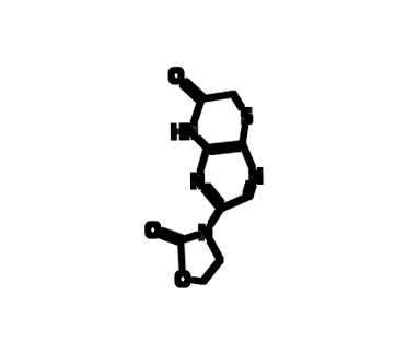 O=C1CSc2ncc(N3CCOC3=O)nc2N1